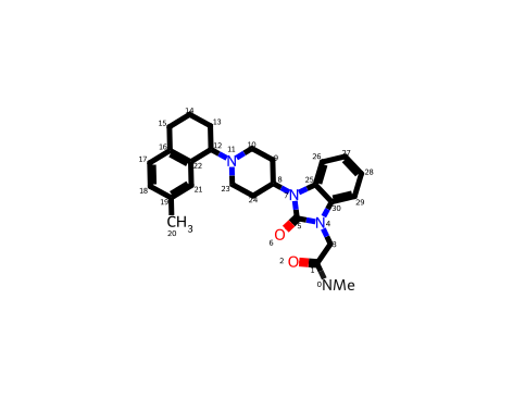 CNC(=O)Cn1c(=O)n(C2CCN(C3CCCc4ccc(C)cc43)CC2)c2ccccc21